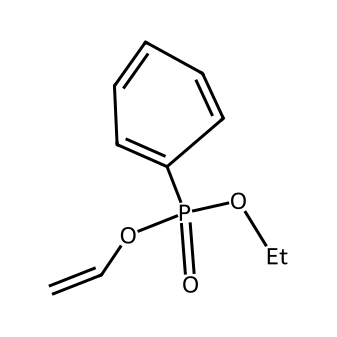 C=COP(=O)(OCC)c1ccccc1